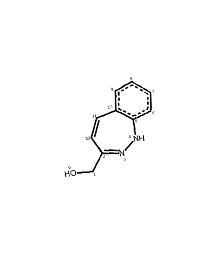 OCC1=NNc2ccccc2C=C1